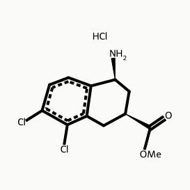 COC(=O)[C@H]1Cc2c(ccc(Cl)c2Cl)[C@@H](N)C1.Cl